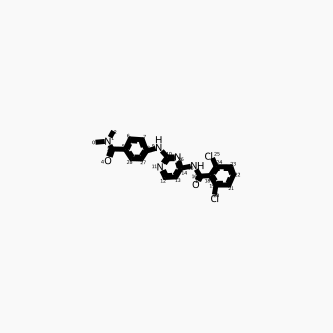 CN(C)C(=O)c1ccc(Nc2nccc(NC(=O)c3c(Cl)cccc3Cl)n2)cc1